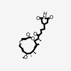 CO[C@H]1/C=C/CC/C=C/C(=O)O[C@H]([C@H](C)C(=O)CCCC2CC(=O)NC(=O)C2)/C(C)=C\[C@@H](C)[C@@H]1C